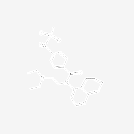 CCN(CC)CCN(C(=O)c1ccc(NS(C)(=O)=O)cc1)c1cccc2ccccc12